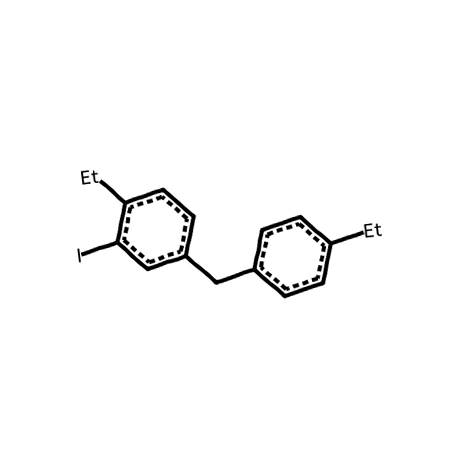 CCc1ccc(Cc2ccc(CC)c(I)c2)cc1